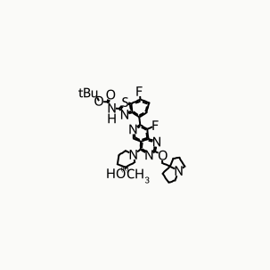 CC(C)(C)OC(=O)Nc1nc2c(-c3ncc4c(N5CCC[C@@](C)(O)C5)nc(OCC56CCCN5CCC6)nc4c3F)ccc(F)c2s1